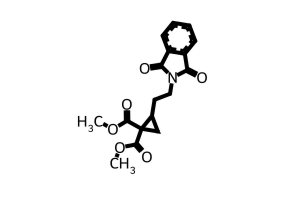 COC(=O)C1(C(=O)OC)CC1CCN1C(=O)c2ccccc2C1=O